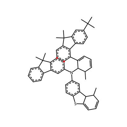 CC1C=CC=C2Sc3ccc(N(c4ccc5c(c4)-c4ccccc4C5(C)C)C4C(c5cccc6c5-c5ccc(C(C)(C)C)cc5C6(C)C)=CC=CC4C)cc3C21